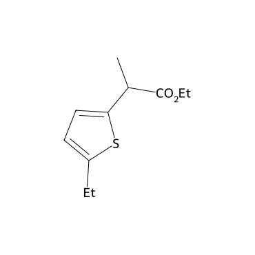 CCOC(=O)C(C)c1ccc(CC)s1